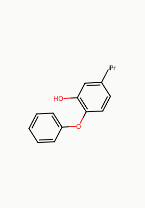 CC(C)c1ccc(Oc2ccccc2)c(O)c1